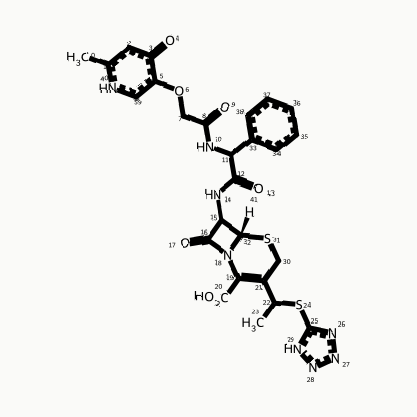 Cc1cc(=O)c(OCC(=O)NC(C(=O)NC2C(=O)N3C(C(=O)O)=C(C(C)Sc4nnn[nH]4)CS[C@@H]23)c2ccccc2)c[nH]1